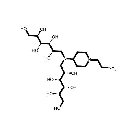 C[C@@H](CN(C[C@H](O)[C@@H](O)[C@H](O)[C@H](O)CO)C1CCN(CCN)CC1)[C@@H](O)[C@H](O)[C@H](O)CO